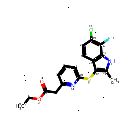 CCOC(=O)Cc1cccc(Sc2c(C)[nH]c3c(F)c(Cl)ccc23)n1